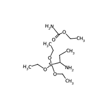 CCOC(N)=O.CCO[Si](OCC)(OCC)C(N)CC